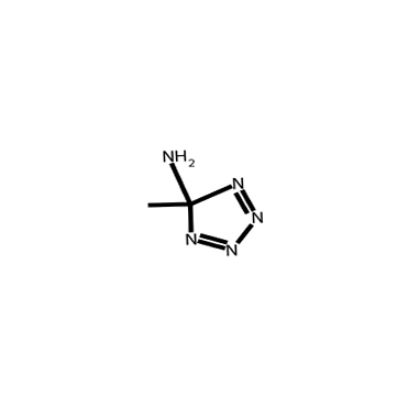 CC1(N)N=NN=N1